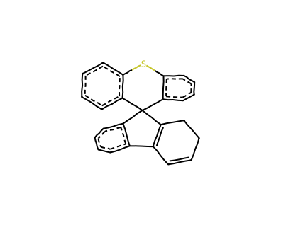 C1=CC2=C(CC1)C1(c3ccccc3Sc3ccccc31)c1ccccc12